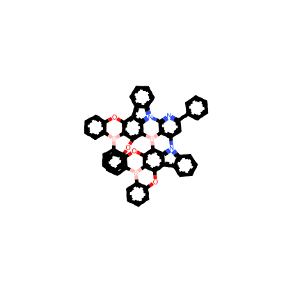 c1ccc(-c2cc3c4c(n2)-n2c5ccccc5c5c6c7c(c(c52)B4c2c4c5c(c8c9ccccc9n-3c28)Oc2ccccc2B5c2ccccc2O4)Oc2ccccc2B7c2ccccc2O6)cc1